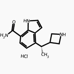 C[C@H](c1ccc(C(N)=O)c2[nH]ccc12)C1CNC1.Cl